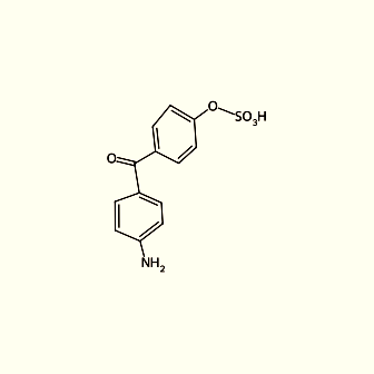 Nc1ccc(C(=O)c2ccc(OS(=O)(=O)O)cc2)cc1